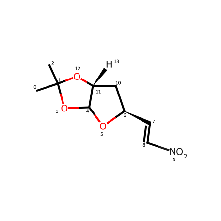 CC1(C)OC2O[C@H](/C=C/[N+](=O)[O-])C[C@H]2O1